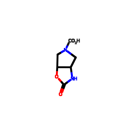 O=C1NC2CN(C(=O)O)CC2O1